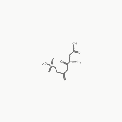 C=C(CCS(=O)(=O)O)CC(=O)C(N)CC(=O)O